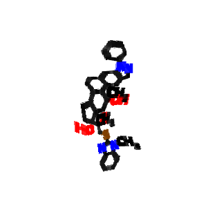 Cn1c(SCC(=O)[C@@]2(O)CCC3C4CCC5=Cc6c(cnn6-c6ccccc6)CC5(C)C4[C@@H](O)CC32C)nc2ccccc21